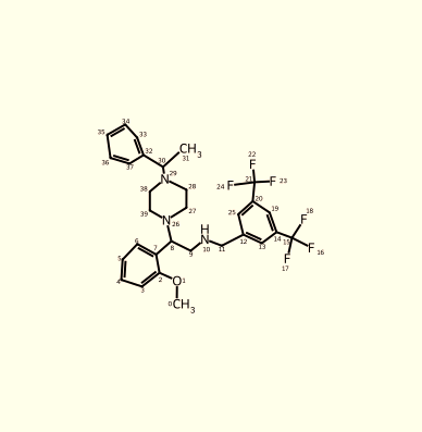 COc1ccccc1C(CNCc1cc(C(F)(F)F)cc(C(F)(F)F)c1)N1CCN(C(C)c2ccccc2)CC1